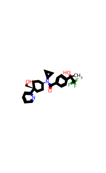 C[C@](O)(c1ccc(C(=O)N(C2CC2)[C@H]2CC[C@@](CO)(c3ccccn3)CC2)cc1)C(F)(F)F